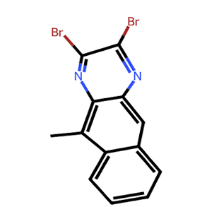 Cc1c2ccccc2cc2nc(Br)c(Br)nc12